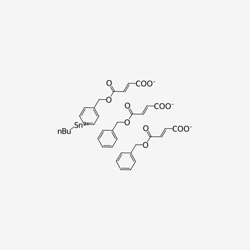 CCC[CH2][Sn+3].O=C([O-])C=CC(=O)OCc1ccccc1.O=C([O-])C=CC(=O)OCc1ccccc1.O=C([O-])C=CC(=O)OCc1ccccc1